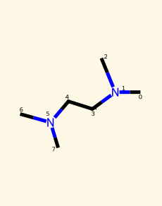 CN(C)[CH]CN(C)C